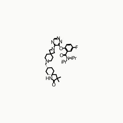 CC(C)N(C(=O)c1cc(F)ccc1Oc1nncnc1N1CC2(CCN(C[C@H]3CC[C@]4(CC3)CC(C)(C)C(=O)N4)CC2)C1)C(C)C